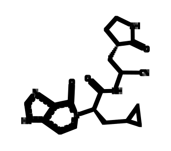 N#CC(C[C@@H]1CCNC1=O)NC(=O)[C@@H](CC1CC1)n1ccc2[nH]cnc2c1=O